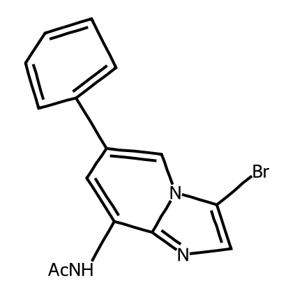 CC(=O)Nc1cc(-c2ccccc2)cn2c(Br)cnc12